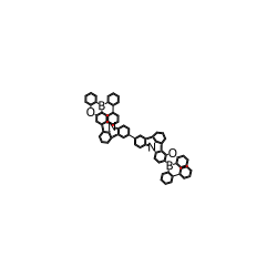 c1ccc(-c2ccccc2B2c3ccccc3Oc3cc4c5cccc6c7cc(-c8ccc9c(c8)c8cccc%10c%11c%12c(ccc%11n9c8%10)B(c8ccccc8-c8ccccc8)c8ccccc8O%12)ccc7n(c4cc32)c65)cc1